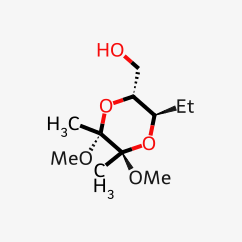 CC[C@H]1O[C@@](C)(OC)[C@](C)(OC)O[C@@H]1CO